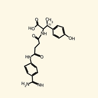 C[C@@H](c1ccc(O)cc1)C(NC(=O)CCC(=O)Nc1ccc(C(=N)N)cc1)C(=O)O